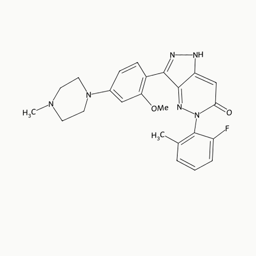 COc1cc(N2CCN(C)CC2)ccc1-c1n[nH]c2cc(=O)n(-c3c(C)cccc3F)nc12